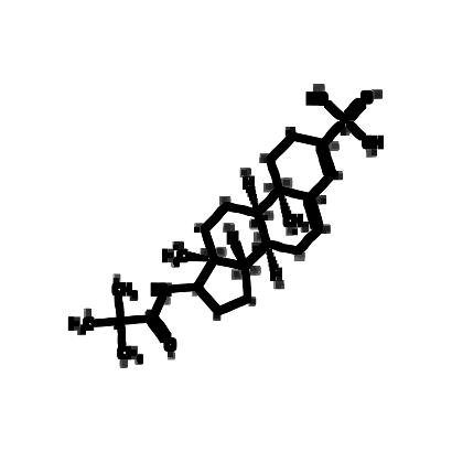 CC(C)(C)C(=O)NC1CC[C@H]2[C@@H]3CC=C4C=C(P(=O)(O)O)CC[C@]4(C)[C@@H]3CC[C@]12C